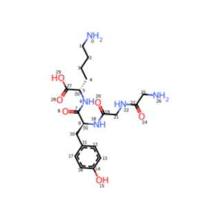 NCCCC[C@H](NC(=O)[C@H](Cc1ccc(O)cc1)NC(=O)CNC(=O)CN)C(=O)O